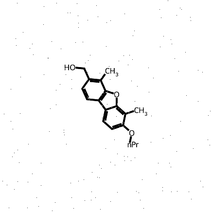 CCCOc1ccc2c(oc3c(C)c(CO)ccc32)c1C